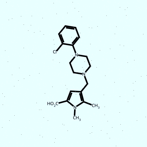 Cc1c(CN2CCN(c3ccccc3Cl)CC2)cc(C(=O)O)n1C